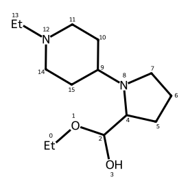 CCOC(O)C1CCCN1C1CCN(CC)CC1